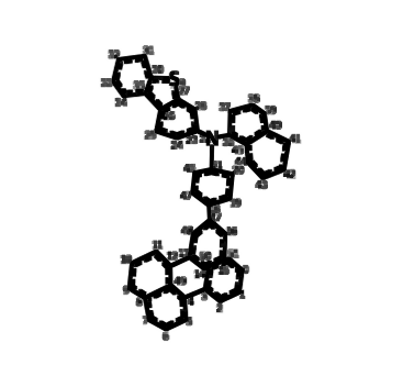 c1ccc(-c2cccc3cccc(-c4cccc(-c5ccc(N(c6ccc7c(c6)sc6ccccc67)c6cccc7ccccc67)cc5)c4)c23)cc1